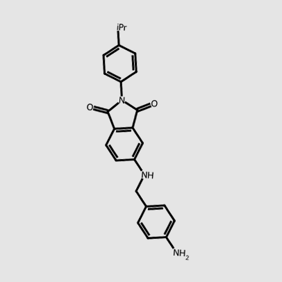 CC(C)c1ccc(N2C(=O)c3ccc(NCc4ccc(N)cc4)cc3C2=O)cc1